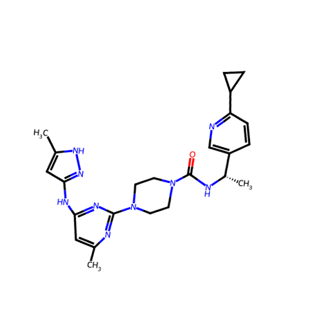 Cc1cc(Nc2cc(C)[nH]n2)nc(N2CCN(C(=O)N[C@@H](C)c3ccc(C4CC4)nc3)CC2)n1